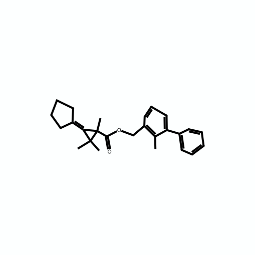 Cc1c(COC(=O)C2(C)C(=C3CCCC3)C2(C)C)cccc1-c1ccccc1